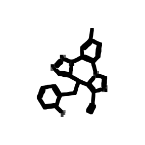 C#Cc1ncn2c1C(Cc1ccccc1F)c1cnnn1-c1cc(C)ccc1-2